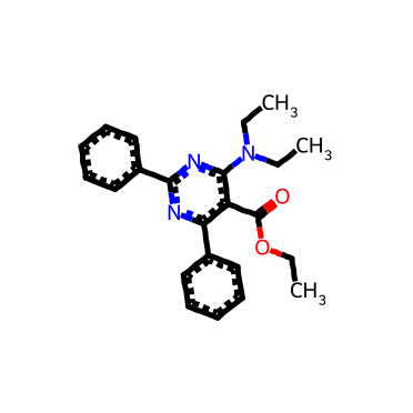 CCOC(=O)c1c(-c2ccccc2)nc(-c2ccccc2)nc1N(CC)CC